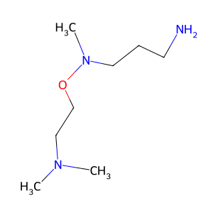 CN(C)CCON(C)CCCN